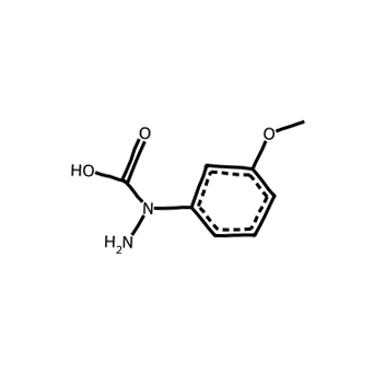 COc1cccc(N(N)C(=O)O)c1